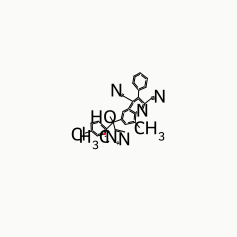 Cc1cc(C(O)(c2ccc(Cl)cc2)c2cncn2C)cc2c(C#N)c(-c3ccccc3)c(C#N)nc12